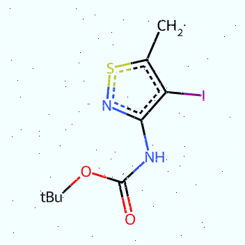 [CH2]c1snc(NC(=O)OC(C)(C)C)c1I